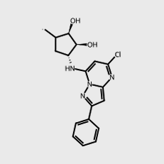 [CH2]C1C[C@@H](Nc2cc(Cl)nc3cc(-c4ccccc4)nn23)[C@H](O)[C@@H]1O